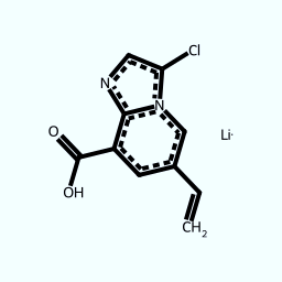 C=Cc1cc(C(=O)O)c2ncc(Cl)n2c1.[Li]